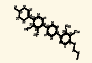 CCCCc1ccc(-c2ccc(-c3ccc(C4=CCC(C)CC4)c(F)c3F)cc2)c(F)c1F